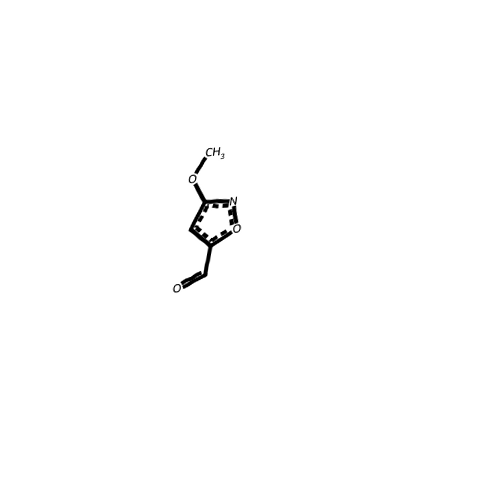 COc1cc(C=O)on1